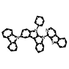 c1ccc(-n2c3ccc(-n4c5ccccc5c5ccccc54)cc3c3c4ccccc4n(-c4nccc5c4sc4ccccc45)c32)cc1